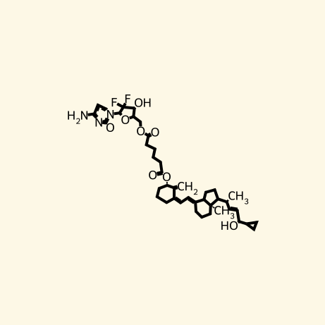 C=C1/C(=C\C=C2/CCC[C@@]3(C)C2CCC3[C@@H](C)/C=C/C(O)C2CC2)CCC[C@@H]1OC(=O)CCCCC(=O)OCC1OC(n2ccc(N)nc2=O)C(F)(F)C1O